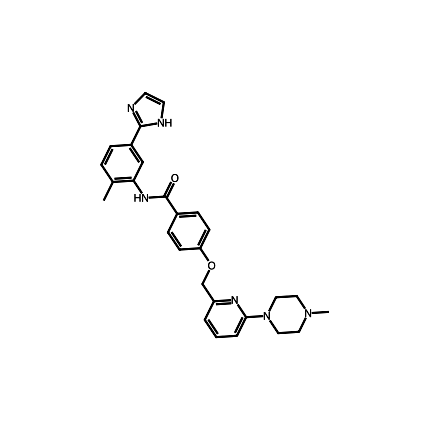 Cc1ccc(-c2ncc[nH]2)cc1NC(=O)c1ccc(OCc2cccc(N3CCN(C)CC3)n2)cc1